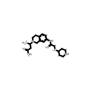 CC(CC(=O)O)N1CCc2ccc(NC(=O)COC3CCNCC3)cc2C1